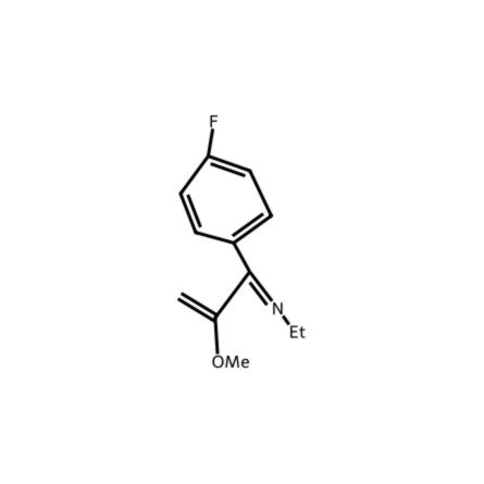 C=C(OC)/C(=N\CC)c1ccc(F)cc1